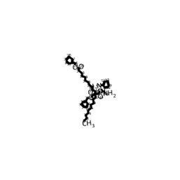 CCCCCCCCCCCC(CCCCCCCCCCC(=O)OCc1ccccc1)(C(=O)OCc1ccccc1)C(=O)ON(N)c1ccccc1N